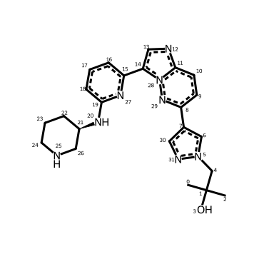 CC(C)(O)Cn1cc(-c2ccc3ncc(-c4cccc(N[C@@H]5CCCNC5)n4)n3n2)cn1